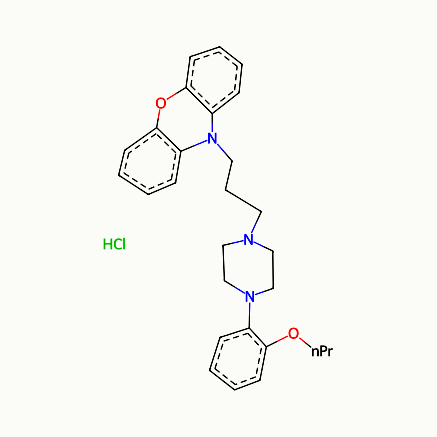 CCCOc1ccccc1N1CCN(CCCN2c3ccccc3Oc3ccccc32)CC1.Cl